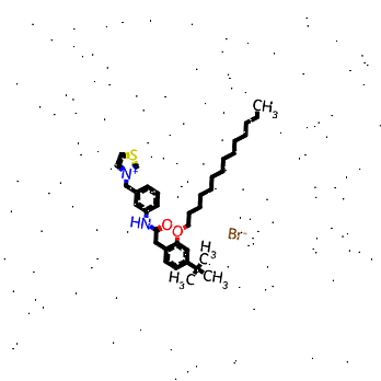 CCCCCCCCCCCCCCOc1cc(C(C)(C)C)ccc1CC(=O)Nc1cccc(C[n+]2ccsc2)c1.[Br-]